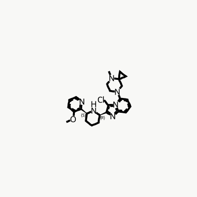 COc1cccnc1[C@@H]1CCC[C@H](c2nc3cccc(N4CCN(C)C5(CC5)C4)n3c2Cl)N1